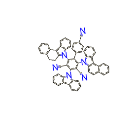 N#Cc1ccc(-c2c(-n3c4c(c5ccccc53)-c3ccccc3CC4)c(C#N)c(-n3c4ccccc4c4ccccc43)c(C#N)c2-n2c3ccccc3c3c4ccccc4ccc32)cc1